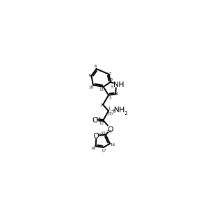 N[C@@H](Cc1c[nH]c2ccccc12)C(=O)Oc1ccco1